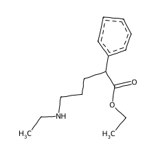 CCNCCCC(C(=O)OCC)c1ccccc1